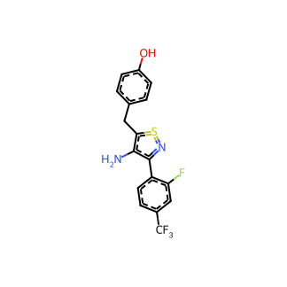 Nc1c(-c2ccc(C(F)(F)F)cc2F)nsc1Cc1ccc(O)cc1